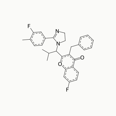 Cc1ccc(C2=NCCN2C(c2oc3cc(F)ccc3c(=O)c2Cc2ccccc2)C(C)C)cc1F